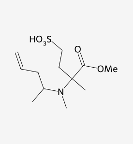 C=CCC(C)N(C)C(C)(CCS(=O)(=O)O)C(=O)OC